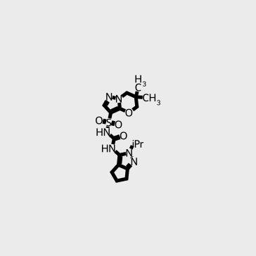 CC(C)n1nc2c(c1NC(=O)NS(=O)(=O)c1cnn3c1OCC(C)(C)C3)CCC2